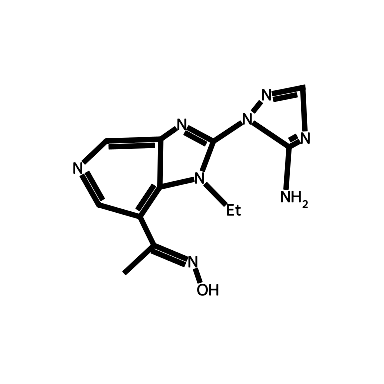 CCn1c(-n2ncnc2N)nc2cncc(C(C)=NO)c21